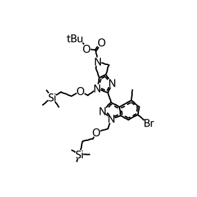 Cc1cc(Br)cc2c1c(-c1nc3c(n1COCC[Si](C)(C)C)CN(C(=O)OC(C)(C)C)C3)nn2COCC[Si](C)(C)C